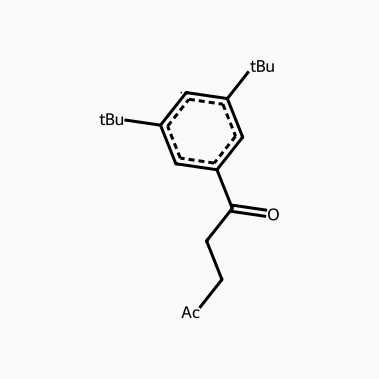 CC(=O)CCC(=O)c1cc(C(C)(C)C)[c]c(C(C)(C)C)c1